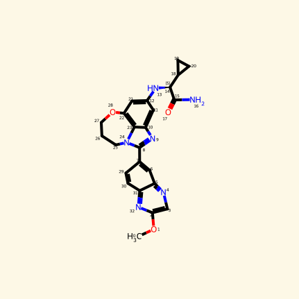 COc1cnc2cc(-c3nc4cc(N[C@H](C(N)=O)C5CC5)cc5c4n3CCCO5)ccc2n1